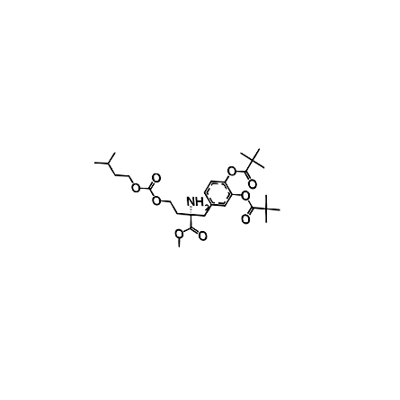 COC(=O)[C@@](N)(CCOC(=O)OCCC(C)C)Cc1ccc(OC(=O)C(C)(C)C)c(OC(=O)C(C)(C)C)c1